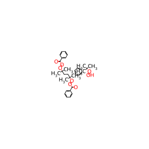 CC(C)(C)OO.CC(C)(CCC(C)(C)OOC(=O)c1ccccc1)OOC(=O)c1ccccc1.c1ccccc1